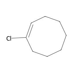 Cl/C1=C/CCCCCC1